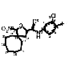 O=C(Nc1ccc(F)c(Cl)c1)C1CC2(CCCCCCC2)C([N+](=O)[O-])O1